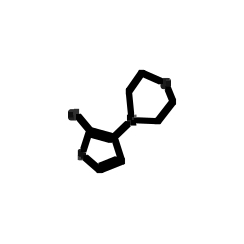 Clc1sccc1N1CCOCC1